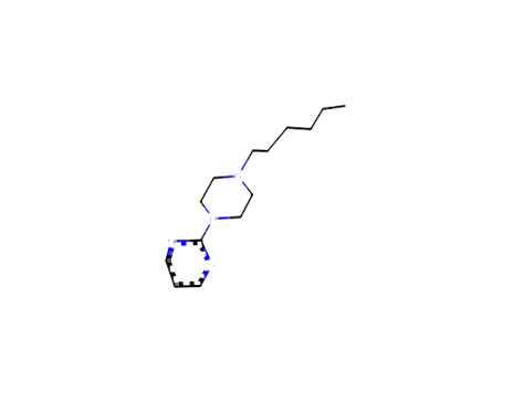 CCCCCCN1CCN(c2ncccn2)CC1